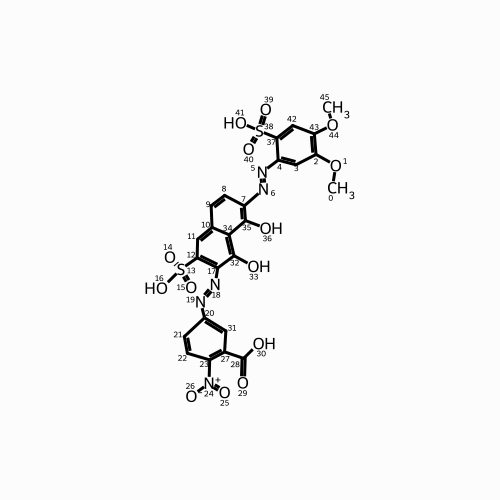 COc1cc(/N=N/c2ccc3cc(S(=O)(=O)O)c(/N=N/c4ccc([N+](=O)[O-])c(C(=O)O)c4)c(O)c3c2O)c(S(=O)(=O)O)cc1OC